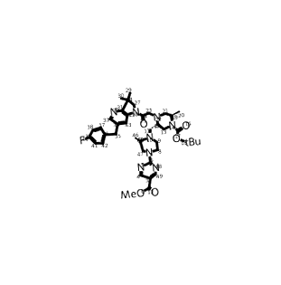 COC(=O)c1cnc(N2CCN(C[C@H]3CN(C(=O)OC(C)(C)C)[C@H](C)CN3CC(=O)N3CC(C)(C)c4ncc(Cc5ccc(F)cc5)cc43)[C@H](C)C2)nc1